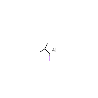 CC(C)CI.[Al]